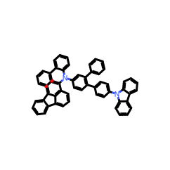 c1ccc(-c2cc(N(c3ccccc3-c3ccccc3)c3ccc4c5c(cccc35)-c3ccccc3-4)ccc2-c2ccc(-n3c4ccccc4c4ccccc43)cc2)cc1